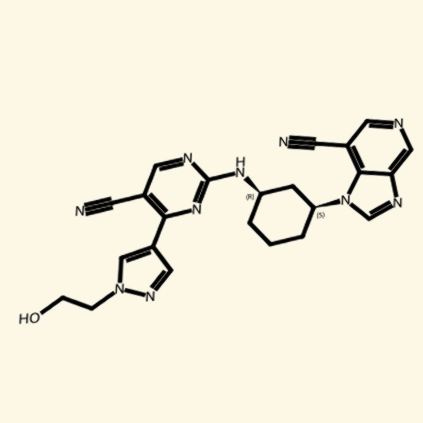 N#Cc1cnc(N[C@@H]2CCC[C@H](n3cnc4cncc(C#N)c43)C2)nc1-c1cnn(CCO)c1